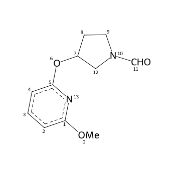 COc1cccc(OC2CCN(C=O)C2)n1